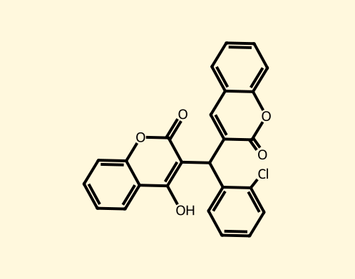 O=c1oc2ccccc2cc1C(c1ccccc1Cl)c1c(O)c2ccccc2oc1=O